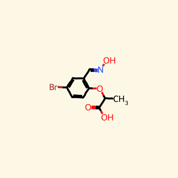 CC(Oc1ccc(Br)cc1/C=N/O)C(=O)O